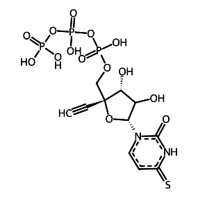 C#C[C@]1(COP(=O)(O)OP(=O)(O)OP(=O)(O)O)O[C@@H](n2ccc(=S)[nH]c2=O)C(O)[C@H]1O